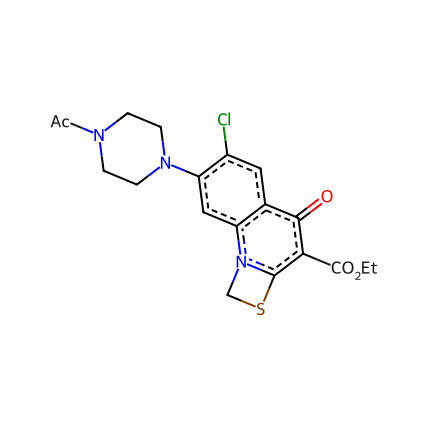 CCOC(=O)c1c2n(c3cc(N4CCN(C(C)=O)CC4)c(Cl)cc3c1=O)CS2